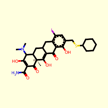 CN(C)C1C(O)=C(C(N)=O)C(=O)[C@]2(C)C(O)=C3C(=O)c4c(O)c(CSC5CCCCC5)cc(I)c4CC3CC12